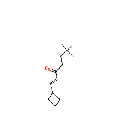 CC(C)(C)CCC(=O)/C=C/C1CCC1